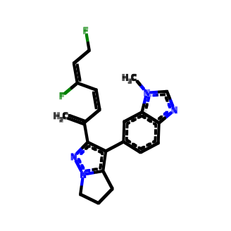 C=C(/C=C\C(F)=C/CF)c1nn2c(c1-c1ccc3ncn(C)c3c1)CCC2